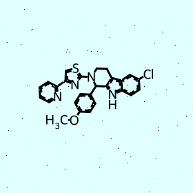 COc1ccc(C2c3[nH]c4ccc(Cl)cc4c3CCN2c2nc(-c3ccccn3)cs2)cc1